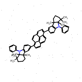 CC1(C)CCCC2(C)c3cc(-c4ccc5ccc6c(-c7ccc8c(c7)C7(C)CCCC(C)(C)C7(C)N8c7ccccc7)ccc7ccc4c5c76)ccc3N(c3ccccc3)C12C